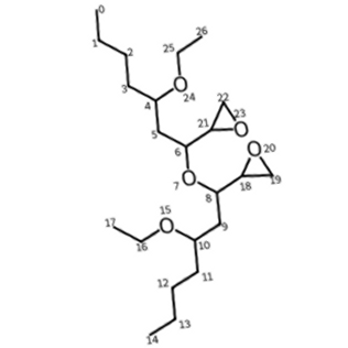 CCCCC(CC(OC(CC(CCCC)OCC)C1CO1)C1CO1)OCC